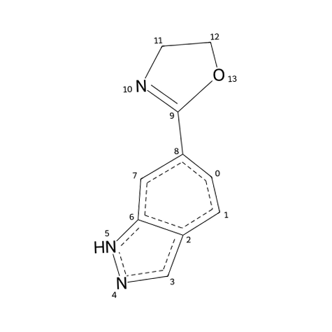 c1cc2cn[nH]c2cc1C1=NCCO1